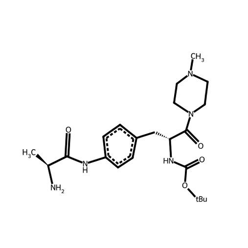 C[C@H](N)C(=O)Nc1ccc(C[C@@H](NC(=O)OC(C)(C)C)C(=O)N2CCN(C)CC2)cc1